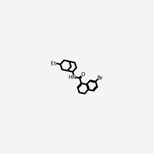 CCC1CC2CCC(NC(=O)C3=CCCc4ccc(Br)cc43)C(C1)C2